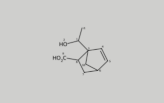 CC(O)C12C=CC(CC1C(=O)O)C2